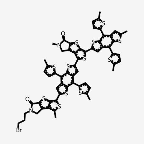 Cc1ccc(-c2c3cc(-c4sc(-c5cc6c(-c7ccc(C)s7)c7sc(-c8sc(C)c9c%10c(sc89)C(=O)N(CCCBr)C%10)cc7c(-c7ccc(C)s7)c6s5)c5c6c(sc45)C(=O)N(C)C6)sc3c(-c3ccc(C)s3)c3cc(C)sc23)s1